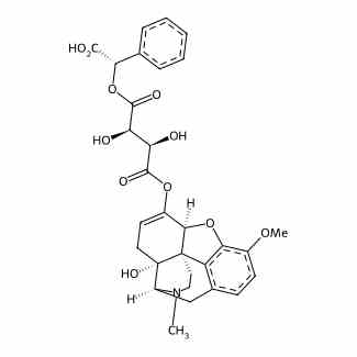 COc1ccc2c3c1O[C@@H]1C(OC(=O)[C@H](O)[C@@H](O)C(=O)O[C@H](C(=O)O)c4ccccc4)=CC[C@]4(O)[C@H](C2)N(C)CC[C@@]314